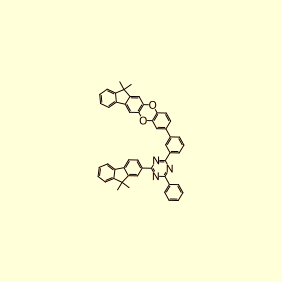 CC1(C)c2ccccc2-c2ccc(-c3nc(-c4ccccc4)nc(-c4cccc(-c5ccc6c(c5)Oc5cc7c(cc5O6)C(C)(C)c5ccccc5-7)c4)n3)cc21